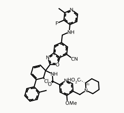 COc1cc(C(=O)NC2(c3nc4cc(CNc5ccnc(C)c5F)cc(C#N)c4o3)C=CC=C(c3ccccc3C)C2Cl)ncc1CN1CCCC[C@H]1C(=O)O